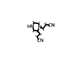 N#CCCC1CNCCN1CCC#N